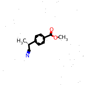 COC(=O)c1ccc([C@@H](C)C#N)cc1